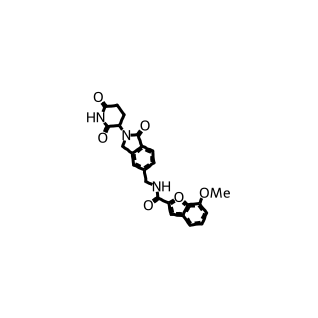 COc1cccc2cc(C(=O)NCc3ccc4c(c3)CN(C3CCC(=O)NC3=O)C4=O)oc12